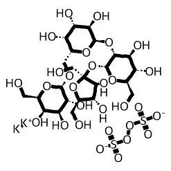 O=S(=O)([O-])OOS(=O)(=O)[O-].OC[C@H]1O[C@H](OC[C@H]2O[C@H](O[C@H]3[C@@H](O[C@]4(CO)O[C@H](CO)[C@@H](O)[C@@H]4O)O[C@H](CO)[C@@H](O)[C@@H]3O)[C@H](O)[C@@H](O)[C@H]2O)[C@H](O)[C@@H](O)[C@H]1O.[K+].[K+]